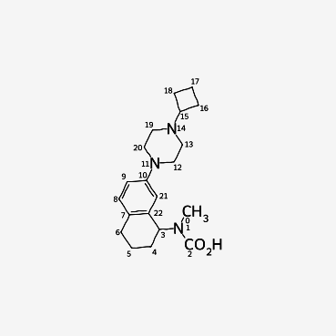 CN(C(=O)O)C1CCCc2ccc(N3CCN(C4CCC4)CC3)cc21